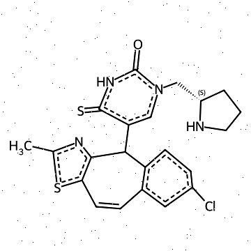 Cc1nc2c(s1)C=Cc1cc(Cl)ccc1C2c1cn(C[C@@H]2CCCN2)c(=O)[nH]c1=S